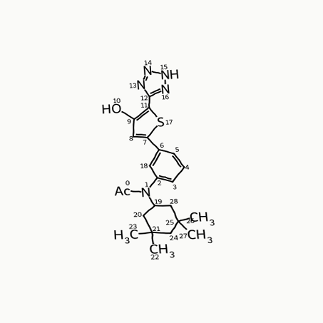 CC(=O)N(c1cccc(-c2cc(O)c(-c3nn[nH]n3)s2)c1)C1CC(C)(C)CC(C)(C)C1